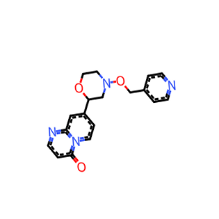 O=c1ccnc2cc(C3CN(OCc4ccncc4)CCO3)ccn12